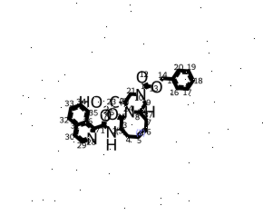 O=C(N[C@H]1C/C=C\C[C@H]2CN(C(=O)OCc3ccccc3)C[C@@H](C(=O)O)N2C1=O)c1nccc2ccccc12